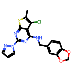 Cc1sc2nc(-n3cccn3)nc(NCc3ccc4c(c3)OCO4)c2c1Cl